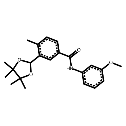 COc1cccc(NC(=O)c2ccc(C)c(C3OC(C)(C)C(C)(C)O3)c2)c1